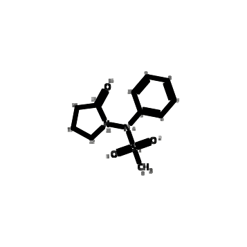 CS(=O)(=O)N(c1ccccc1)N1CCCC1=O